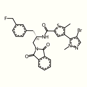 Cc1sc(C(=O)N[C@@H](Cc2cccc(CF)c2)CN2C(=O)c3ccccc3C2=O)cc1-c1c(Br)cnn1C